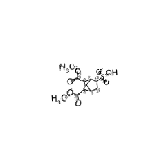 COC(=O)C1C2CC(C1C(=O)OC)C(S(=O)(=O)O)C2